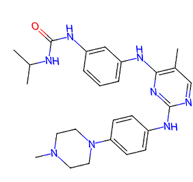 Cc1cnc(Nc2ccc(N3CCN(C)CC3)cc2)nc1Nc1cccc(NC(=O)NC(C)C)c1